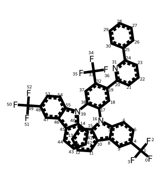 FC(F)(F)c1ccc2c(c1)c1ccccc1n2-c1cc(-c2cccc(-c3ccccc3)n2)c(C(F)(F)F)cc1-n1c2ccccc2c2cc(C(F)(F)F)ccc21